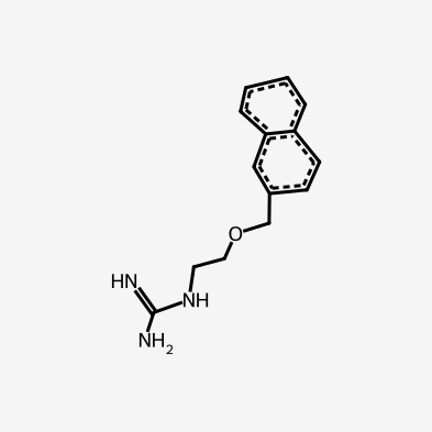 N=C(N)NCCOCc1ccc2ccccc2c1